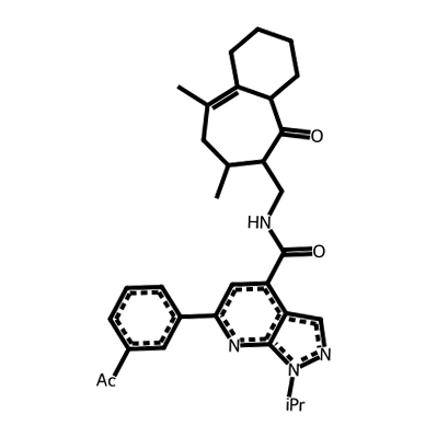 CC(=O)c1cccc(-c2cc(C(=O)NCC3C(=O)C4CCCCC4=C(C)CC3C)c3cnn(C(C)C)c3n2)c1